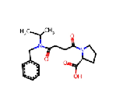 CC(C)N(Cc1ccccc1)C(=O)CCC(=O)N1CCC[C@H]1C(=O)O